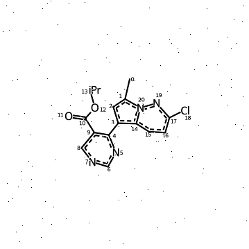 Cc1cc(-c2ncncc2C(=O)OC(C)C)c2ccc(Cl)nn12